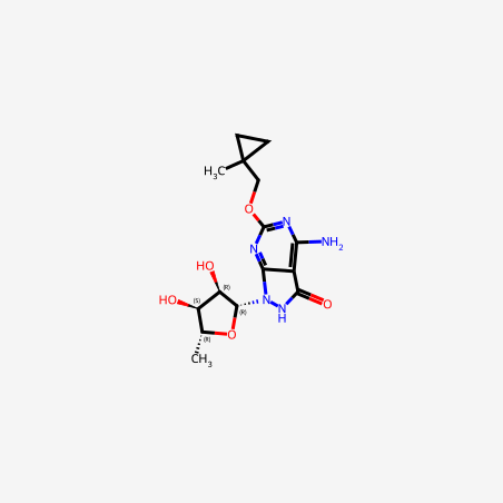 C[C@H]1O[C@@H](n2[nH]c(=O)c3c(N)nc(OCC4(C)CC4)nc32)[C@H](O)[C@@H]1O